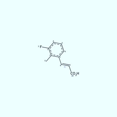 Cc1c(F)cccc1/C=C/C(=O)O